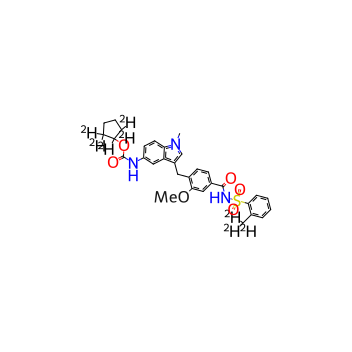 [2H]C([2H])([2H])c1ccccc1S(=O)(=O)NC(=O)c1ccc(Cc2cn(C)c3ccc(NC(=O)OC4([2H])C([2H])([2H])CCC4([2H])[2H])cc23)c(OC)c1